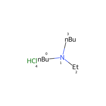 CCCCN(CC)CCCC.Cl